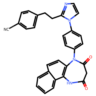 N#Cc1ccc(CCc2nccn2-c2ccc(N3C(=O)CC(=O)Nc4c3ccc3ccccc43)cc2)cc1